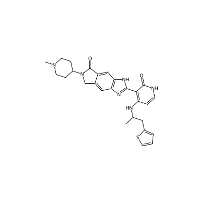 CC(Cc1cccs1)Nc1cc[nH]c(=O)c1-c1nc2cc3c(cc2[nH]1)C(=O)N(C1CCN(C)CC1)C3